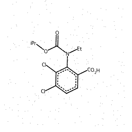 CCN(C(=O)OC(C)C)c1c(C(=O)O)ccc(Cl)c1Cl